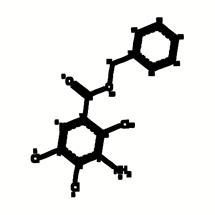 Nc1c(Cl)c(Cl)nc(C(=O)OCc2ccccc2)c1Cl